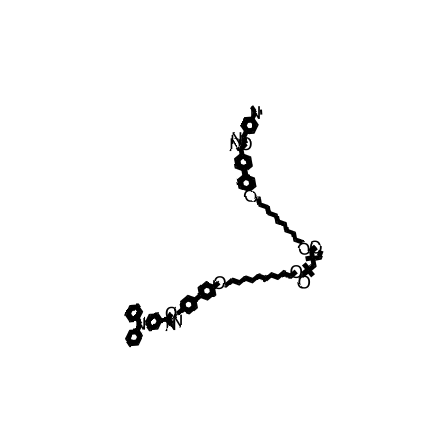 CCC(C)(CC(C)(C)C(=O)OCCCCCCCCCCCOc1ccc(-c2ccc(-c3nnc(-c4ccc(N(c5ccccc5)c5ccccc5)cc4)o3)cc2)cc1)C(=O)OCCCCCCCCCCCOc1ccc(-c2ccc(-c3nnc(-c4ccc(N(C)C)cc4)o3)cc2)cc1